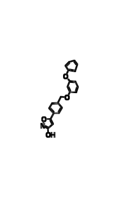 Oc1cc(-c2ccc(COc3cccc(Oc4ccccc4)c3)cc2)on1